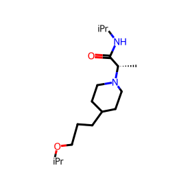 CC(C)NC(=O)[C@H](C)N1CCC(CCCOC(C)C)CC1